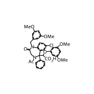 COc1cc(CN2C(=O)CN(C(C)=O)C(c3ccccc3)(C(Oc3cc(OC)cc(OC)c3)C(=O)O)c3cc(Cl)ccc32)cc(OC)c1